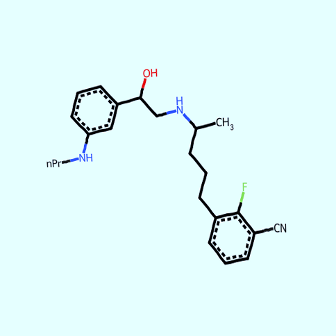 CCCNc1cccc(C(O)CNC(C)CCCc2cccc(C#N)c2F)c1